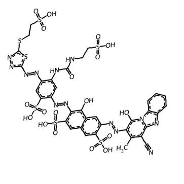 Cc1c(N=Nc2cc3c(O)c(N=Nc4cc(NC(=O)NCCS(=O)(=O)O)c(N=Nc5nnc(SCCS(=O)(=O)O)s5)cc4S(=O)(=O)O)c(S(=O)(=O)O)cc3cc2S(=O)(=O)O)c(O)n2c(nc3ccccc32)c1C#N